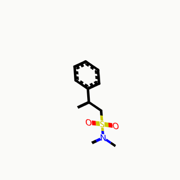 CC(CS(=O)(=O)N(C)C)c1ccccc1